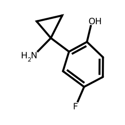 NC1(c2cc(F)ccc2O)CC1